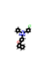 Clc1cccc(-c2nc(-c3ccccc3)nc(-c3ccc4c(c3)oc3ccc5ccccc5c34)n2)c1